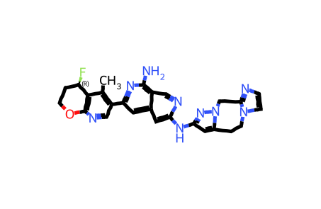 Cc1c(-c2cc3cc(Nc4cc5n(n4)Cc4nccn4CC5)ncc3c(N)n2)cnc2c1[C@H](F)CCO2